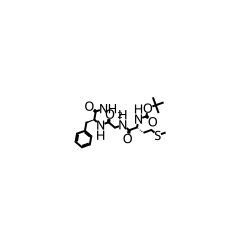 CSCC[C@@H](NC(=O)OC(C)(C)C)C(=O)NCC(=O)N[C@@H](Cc1ccccc1)C(N)=O